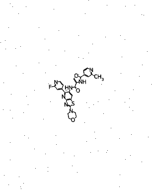 Cc1cc(C2NC(C(=O)Nc3cc4sc(N5CCOCC5)nc4nc3-c3ccnc(F)c3)=CO2)ccn1